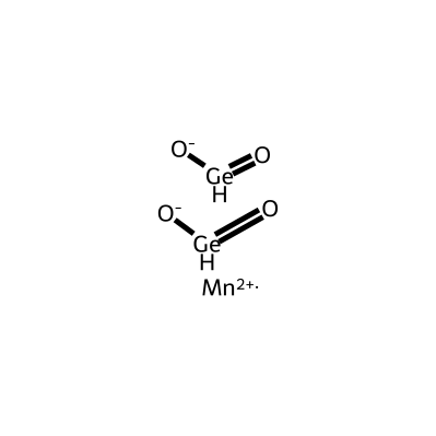 [Mn+2].[O]=[GeH][O-].[O]=[GeH][O-]